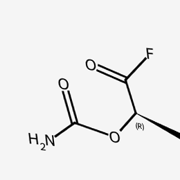 C[C@@H](OC(N)=O)C(=O)F